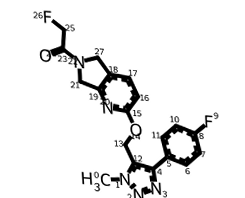 Cn1nnc(-c2ccc(F)cc2)c1COc1ccc2c(n1)CN(C(=O)CF)C2